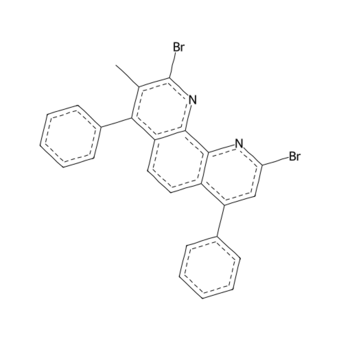 Cc1c(Br)nc2c(ccc3c(-c4ccccc4)cc(Br)nc32)c1-c1ccccc1